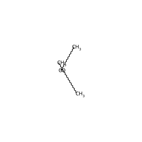 CCCCCCCCCCCCCCCCCCOC(=O)C(CCCC)CCCCCCCCCCCCCCCC